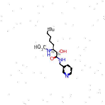 CC(C)(C)CCCC[C@H](NC(=O)O)[C@H](O)C(=O)NCc1cccnc1